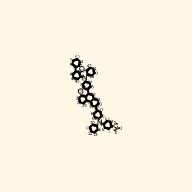 C[Si](C)(C)c1ccc(N(c2ccccc2)c2ccc(-c3ccc4cc5c6c(cccc6c4c3)Oc3cc(N(c4ccccc4)c4cccc6c4oc4ccccc46)ccc3-5)cc2)cc1